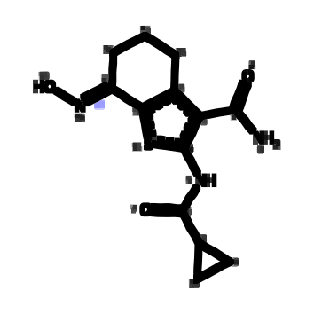 NC(=O)c1c(NC(=O)C2CC2)sc2c1CCC/C2=N\O